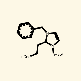 CCCCCCCCCCCCC1N(CCCCCCC)C=CN1Cc1ccccc1